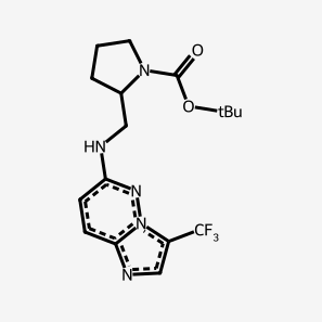 CC(C)(C)OC(=O)N1CCCC1CNc1ccc2ncc(C(F)(F)F)n2n1